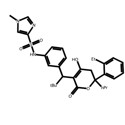 CCCC1(c2ccccc2CC)CC(O)=C(C(c2cccc(NS(=O)(=O)c3cn(C)cn3)c2)C(C)(C)C)C(=O)O1